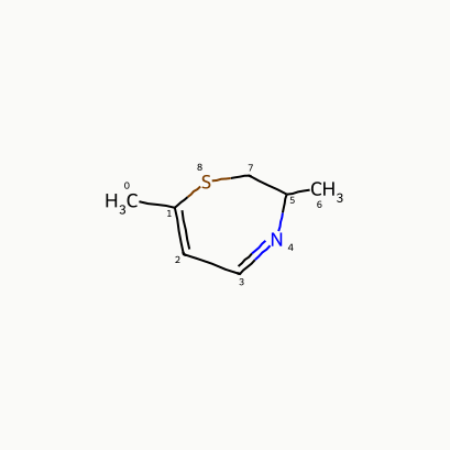 CC1=CC=NC(C)CS1